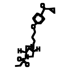 CCS(=O)(=O)N1C[C@@H]2C[C@H]1CN2CCCOc1ccc(C(=O)C2CC2)cc1